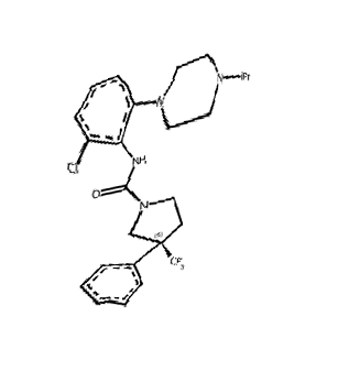 CC(C)N1CCN(c2cccc(Cl)c2NC(=O)N2CC[C@@](c3ccccc3)(C(F)(F)F)C2)CC1